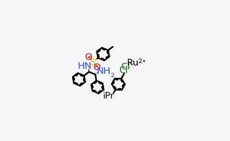 Cc1ccc(C(C)C)cc1.Cc1ccc(S(=O)(=O)N[C@H](c2ccccc2)[C@H](N)c2ccccc2)cc1.[Cl-].[Cl-].[Ru+2]